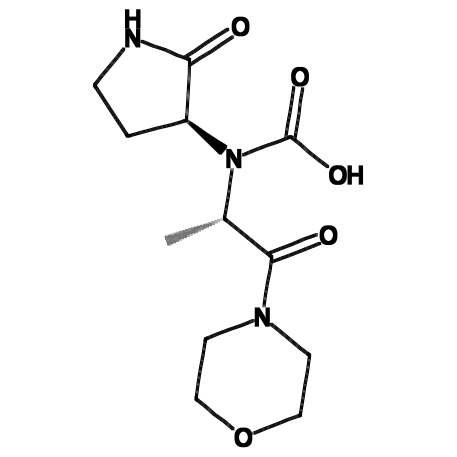 C[C@@H](C(=O)N1CCOCC1)N(C(=O)O)[C@H]1CCNC1=O